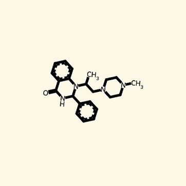 CC(CN1CCN(C)CC1)N1c2ccccc2C(=O)NC1c1ccccc1